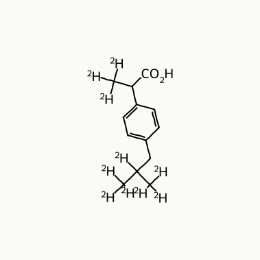 [2H]C([2H])([2H])C(C(=O)O)c1ccc(CC([2H])(C([2H])([2H])[2H])C([2H])([2H])[2H])cc1